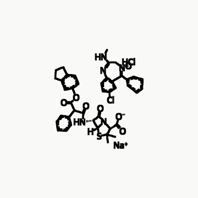 CC1(C)S[C@@H]2[C@H](NC(=O)C(C(=O)Oc3ccc4c(c3)CCC4)c3ccccc3)C(=O)N2[C@H]1C(=O)[O-].CNC1=Nc2ccc(Cl)cc2C(c2ccccc2)=[N+]([O-])C1.Cl.[Na+]